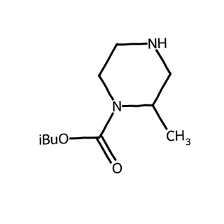 CC(C)COC(=O)N1CCNCC1C